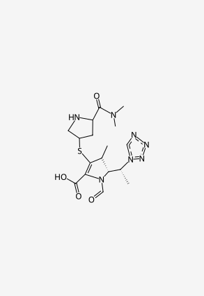 CC1C(SC2CNC(C(=O)N(C)C)C2)=C(C(=O)O)N(C=O)[C@H]1[C@@H](C)n1cnnn1